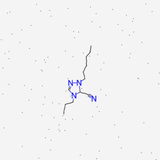 CCCCCCN1N=CN(CCC)C1C#N